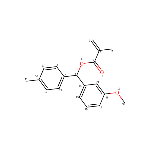 C=C(C)C(=O)OC(c1ccc(C)cc1)c1cccc(OC)c1